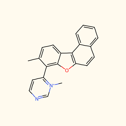 Cc1ccc2c(oc3ccc4ccccc4c32)c1-c1ccnc[n+]1C